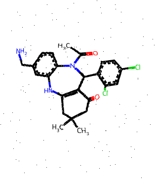 CC(=O)N1c2ccc(CN)cc2NC2=C(C(=O)CC(C)(C)C2)C1c1ccc(Cl)cc1Cl